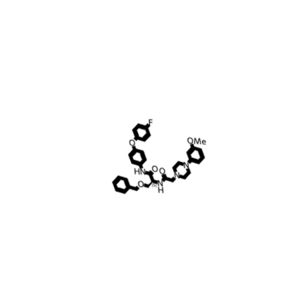 COc1cccc(N2CCN(CC(=O)N[C@@H](COCc3ccccc3)C(=O)Nc3ccc(Oc4ccc(F)cc4)cc3)CC2)c1